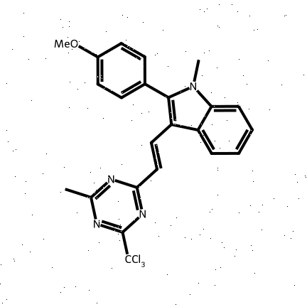 COc1ccc(-c2c(C=Cc3nc(C)nc(C(Cl)(Cl)Cl)n3)c3ccccc3n2C)cc1